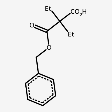 CCC(CC)(C(=O)O)C(=O)OCc1ccccc1